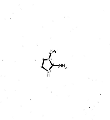 CCCN1CCNC1N